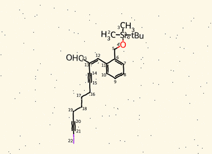 CC(C)(C)[Si](C)(C)OCc1ccccc1C=C(C#CCCCCC#CI)C=O